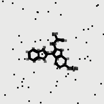 CCOC(=O)N1CCc2c(sc(NC(=O)CC)c2-c2nc3ccccc3s2)C1